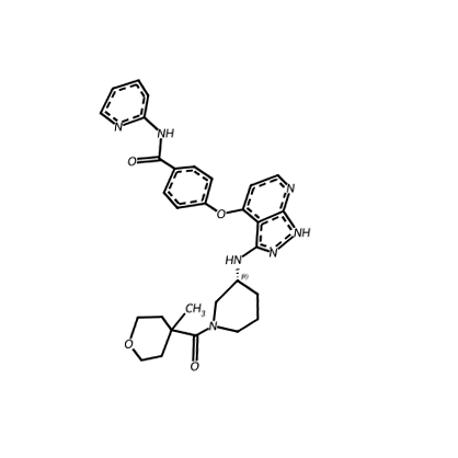 CC1(C(=O)N2CCC[C@@H](Nc3n[nH]c4nccc(Oc5ccc(C(=O)Nc6ccccn6)cc5)c34)C2)CCOCC1